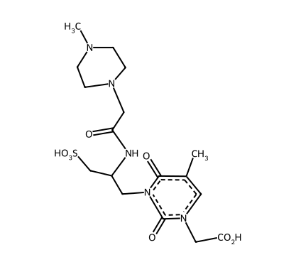 Cc1cn(CC(=O)O)c(=O)n(CC(CS(=O)(=O)O)NC(=O)CN2CCN(C)CC2)c1=O